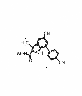 CNC(=O)c1[nH]c2c(-c3ccc(C#N)cc3)cc(C#N)cc2c1C